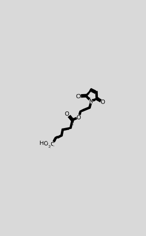 O=C(O)CCCCC(=O)OCCN1C(=O)C=CC1=O